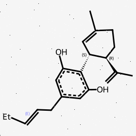 C=C(C)[C@@H]1CCC(C)=C[C@H]1c1c(O)cc(C/C=C/CC)cc1O